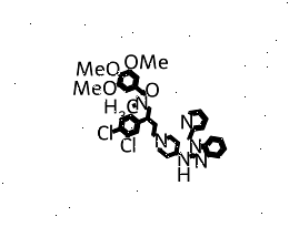 COc1cc(C(=O)N(C)CC(CCN2CCC(Nc3nc4ccccc4n3Cc3ccccn3)CC2)c2ccc(Cl)c(Cl)c2)cc(OC)c1OC